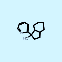 OC1(c2ccccn2)CCC2CCCCC21